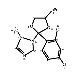 CCCC1COC(c2ccc(Cl)cc2Cl)(N2CN=CN2C)O1